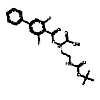 CC(C)(C)OC(=O)NCC[C@H](OC(=O)c1c(F)cc(-c2ccccc2)cc1F)C(=O)O